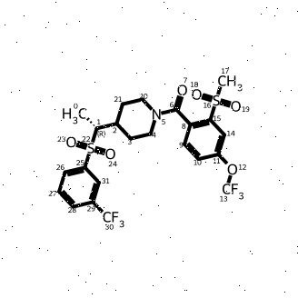 C[C@H](C1CCN(C(=O)c2ccc(OC(F)(F)F)cc2S(C)(=O)=O)CC1)S(=O)(=O)c1cccc(C(F)(F)F)c1